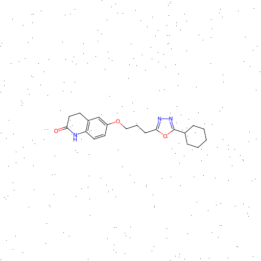 O=C1CCc2cc(OCCCc3nnc(C4CCCCC4)o3)ccc2N1